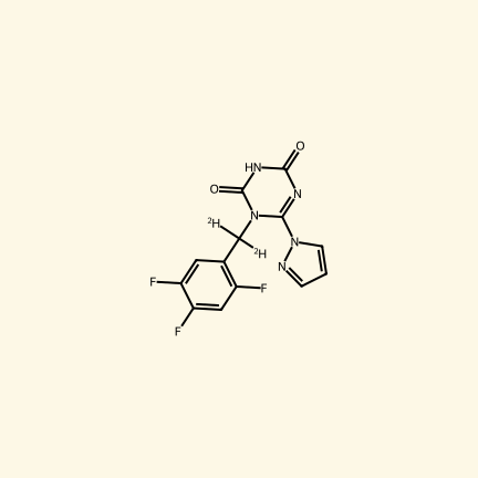 [2H]C([2H])(c1cc(F)c(F)cc1F)n1c(-n2cccn2)nc(=O)[nH]c1=O